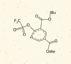 COC(=O)c1ccc(OS(=O)(=O)C(F)(F)F)c(C(=O)OC(C)(C)C)c1